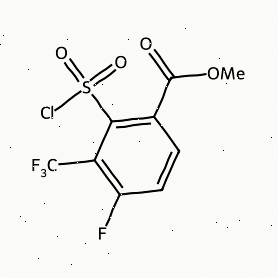 COC(=O)c1ccc(F)c(C(F)(F)F)c1S(=O)(=O)Cl